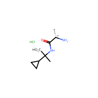 C[C@H](N)C(=O)NC(C)(C(=O)O)C1CC1.Cl